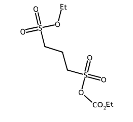 CCOC(=O)OS(=O)(=O)CCCS(=O)(=O)OCC